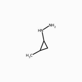 CC1CC1NN